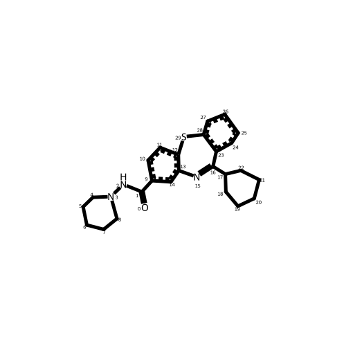 O=C(NN1CCCCC1)c1ccc2c(c1)N=C(C1CCCCC1)c1ccccc1S2